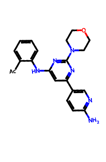 CC(=O)c1ccccc1Nc1cc(-c2ccc(N)nc2)nc(N2CCOCC2)n1